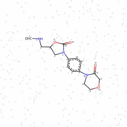 O=CNCC1CN(c2ccc(N3CCOCC3=O)cc2)C(=O)O1